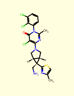 Cc1csc([C@]2(CN)[C@@H]3CN(c4nc(C)n(-c5cccc(Cl)c5Cl)c(=O)c4Cl)C[C@@H]32)n1